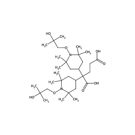 CC(C)(O)CON1C(C)(C)CC(C(CCC(=O)O)(C(=O)O)C2CC(C)(C)N(OCC(C)(C)O)C(C)(C)C2)CC1(C)C